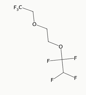 FC(F)C(F)(F)OCCOCC(F)(F)F